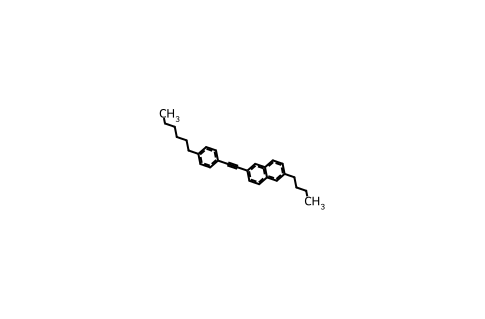 CCCCCCc1ccc(C#Cc2ccc3cc(CCCC)ccc3c2)cc1